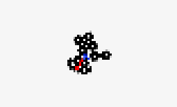 CC1(C)CCC(C)(C)c2cc(-c3cc4c(cc3N(c3ccc(-c5ccccc5)cc3)c3ccc5c(c3)C(C)(C)CCC5(C)C)C(c3ccccc3)(c3ccccc3)c3ccccc3-4)ccc21